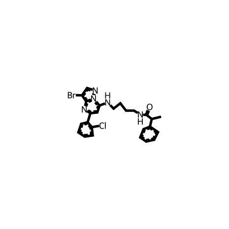 CC(C(=O)NCCCCNc1cc(-c2ccccc2Cl)nc2c(Br)cnn12)c1ccccc1